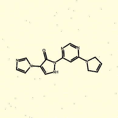 O=c1c(-n2ccnc2)c[nH]n1-c1cc(N2CC=CC2)ncn1